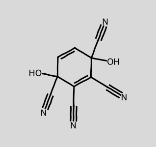 N#CC1=C(C#N)C(O)(C#N)C=CC1(O)C#N